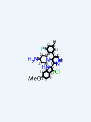 COc1ccc2c(Cl)c(-c3nncc(-c4cc(C)cc(F)c4)c3N3CCC(N)CC3)[nH]c2c1